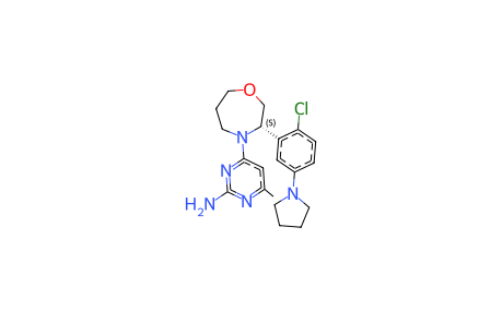 Cc1cc(N2CCCOC[C@@H]2c2cc(N3CCCC3)ccc2Cl)nc(N)n1